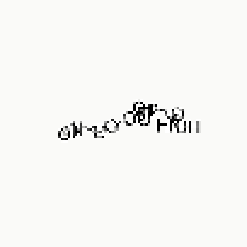 O=C(C=Cc1ccn(S(=O)(=O)c2ccc(-c3ccc(OCCCN4CCOCC4)cc3)cc2)c1)NO